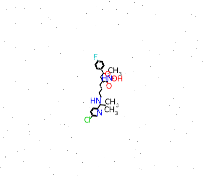 COC(CC(CCCCNC(c1ccc(Cl)cn1)C(C)C)C(=O)NO)c1ccc(F)cc1